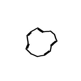 [C]1=C/C=C\C=C\CC/C=C/C=C\CC/1